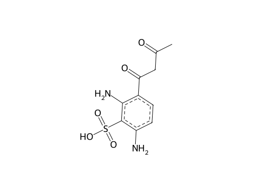 CC(=O)CC(=O)c1ccc(N)c(S(=O)(=O)O)c1N